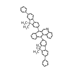 CC1(C)c2cc(-c3ccccc3)ccc2-c2ccc(-c3c4ccccc4c(-c4ccc5c(c4)C(C)(C)c4cc(-c6ccccc6)ccc4-5)c4c3cnc3ccccc34)cc21